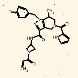 C=CC(=O)N1CC(NC(=O)c2nn(Cc3ccc(F)cc3)c3c2CN(C(=O)c2ccc[nH]2)CC3C)C1